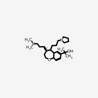 CN(C)CC/C=C1\CCOC2C=CC(C(C)(C)O)=CC2C1CCCN1CCCC1